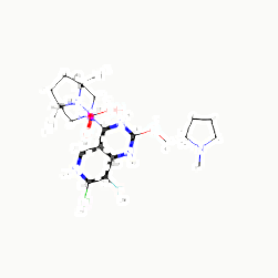 CN1CCC[C@H]1COc1nc(N2C[C@H]3CC[C@@H](C2)N3C(=O)O)c2cnc(Cl)c(F)c2n1